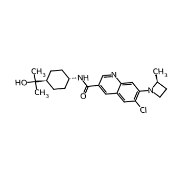 C[C@H]1CCN1c1cc2ncc(C(=O)N[C@H]3CC[C@H](C(C)(C)O)CC3)cc2cc1Cl